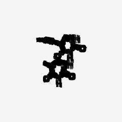 CC#Cc1c[nH]c(=O)[nH]c1=O.Cc1c[nH]c(=O)[nH]c1=O